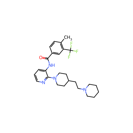 Cc1ccc(C(=O)Nc2cccnc2N2CCC(CCN3CCCCC3)CC2)cc1C(F)(F)F